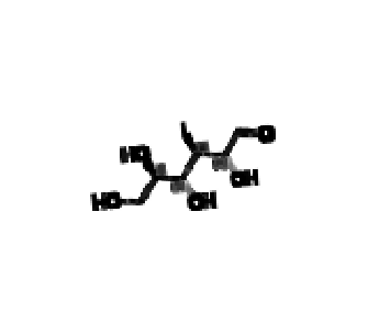 O=C[C@H](O)[C@H](I)[C@H](O)[C@H](O)CO